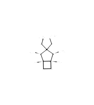 C[C@@H]1[C@H]2CC[C@H]2[C@H](C)C1(CN)CC(=O)O